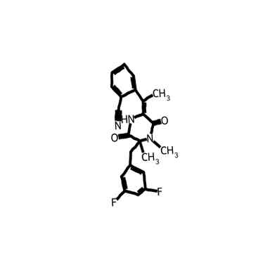 CC(=C1NC(=O)C(C)(Cc2cc(F)cc(F)c2)N(C)C1=O)c1ccccc1C#N